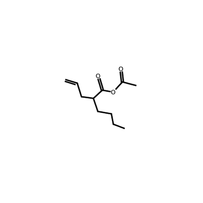 C=CCC(CCCC)C(=O)OC(C)=O